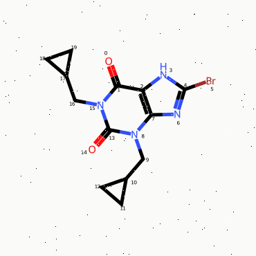 O=c1c2[nH]c(Br)nc2n(CC2CC2)c(=O)n1CC1CC1